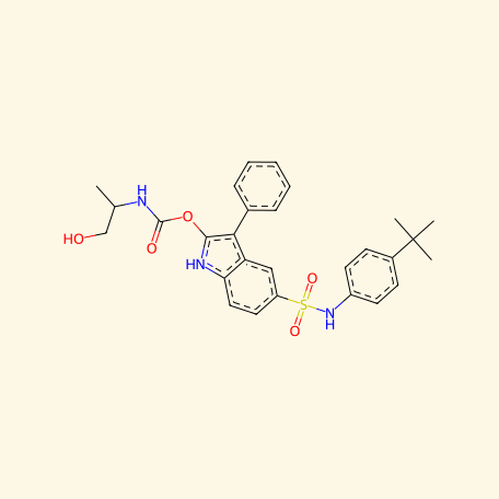 CC(CO)NC(=O)Oc1[nH]c2ccc(S(=O)(=O)Nc3ccc(C(C)(C)C)cc3)cc2c1-c1ccccc1